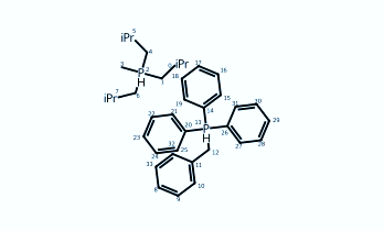 CC(C)C[PH](C)(CC(C)C)CC(C)C.c1ccc(C[PH](c2ccccc2)(c2ccccc2)c2ccccc2)cc1